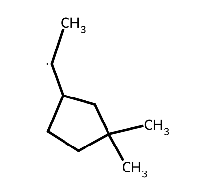 C[CH]C1CCC(C)(C)C1